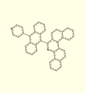 c1ccc2c(c1)ccc1c2nc(-c2c3ccccc3c(-c3ccncc3)c3ccccc23)c2ccc3ccccc3c21